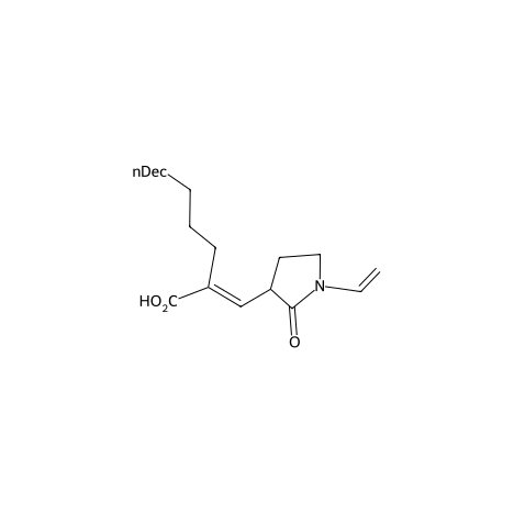 C=CN1CCC(C=C(CCCCCCCCCCCCC)C(=O)O)C1=O